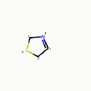 [C]1C=NCS1